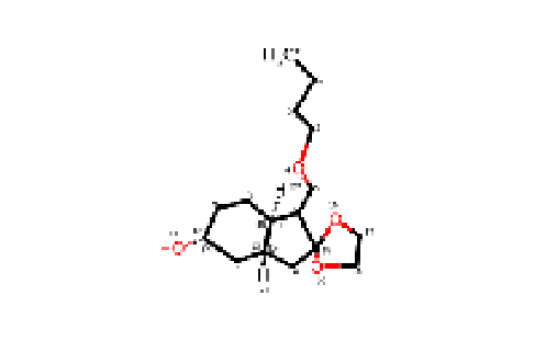 CCCCOCC1[C@@H]2CC[C@@H](O)C[C@H]2CC12OCCO2